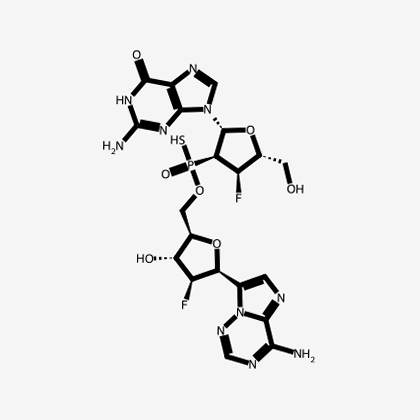 Nc1nc2c(ncn2[C@@H]2O[C@H](CO)[C@@H](F)[C@H]2P(=O)(S)OC[C@H]2O[C@@H](c3cnc4c(N)ncnn34)[C@@H](F)[C@@H]2O)c(=O)[nH]1